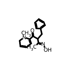 CC(=NO)C(Cc1ccccc1)C(=O)C1=CC=CCN1C